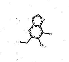 Cc1c(CO)cc2ccoc2c1Br